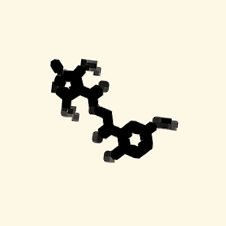 COc1ccc(Cl)c(C(=O)COC(=O)c2c(C(F)(F)F)nn(C)c2N)c1